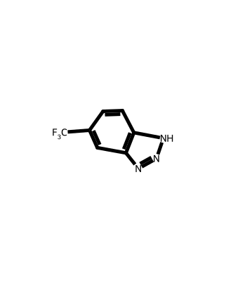 FC(F)(F)c1ccc2[nH]nnc2c1